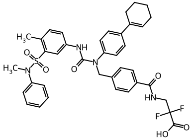 Cc1ccc(NC(=O)N(Cc2ccc(C(=O)NCC(F)(F)C(=O)O)cc2)c2ccc(C3=CCCCC3)cc2)cc1S(=O)(=O)N(C)c1ccccc1